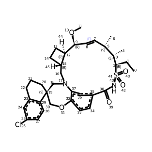 CC[C@@H]1[C@@H](C)[C@@H](C)/C=C/[C@H](OC)[C@@H]2CC[C@H]2CN2C[C@@]3(CCCc4cc(Cl)ccc43)COc3ccc(cc32)C(=O)NS1(=O)=O